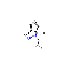 CCN(N)C1(C)C=CC=C1C